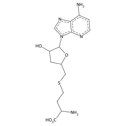 Nc1ccnc2c1ncn2C1OC(CSCCC(N)C(=O)O)CC1O